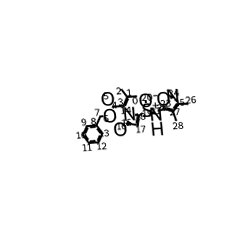 CC(C)=C(C(=O)OCc1ccccc1)N1C(=O)C=C1[S+]([O-])Nc1onc(C)c1C